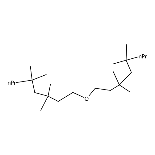 CCCC(C)(C)CC(C)(C)CCOCCC(C)(C)CC(C)(C)CCC